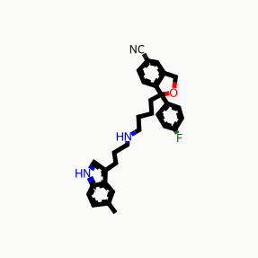 Cc1ccc2[nH]cc(CCCNCCCCC3(c4ccc(F)cc4)OCc4cc(C#N)ccc43)c2c1